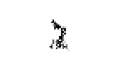 CC(C)S(=O)(=O)NC(=O)c1ccc(COc2cc(F)cc(-c3ccc(OCC4CC4)nc3)c2)cc1